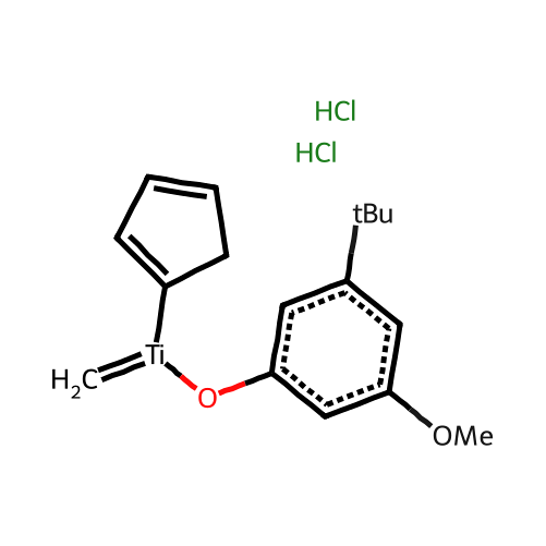 Cl.Cl.[CH2]=[Ti]([O]c1cc(OC)cc(C(C)(C)C)c1)[C]1=CC=CC1